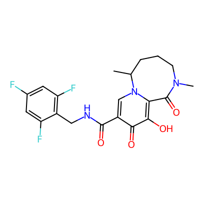 CC1CCCN(C)C(=O)c2c(O)c(=O)c(C(=O)NCc3c(F)cc(F)cc3F)cn21